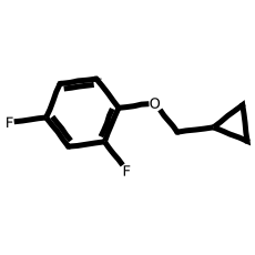 Fc1c[c]c(OCC2CC2)c(F)c1